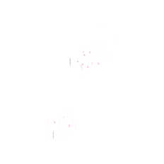 COC1(OO[C@H]2CC[C@@H](COS(=O)(=O)O)CC2)C2CC3CC(C2)CC1C3